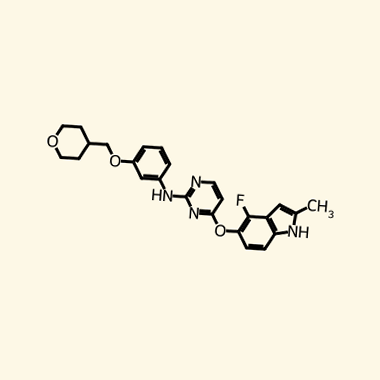 Cc1cc2c(F)c(Oc3ccnc(Nc4cccc(OCC5CCOCC5)c4)n3)ccc2[nH]1